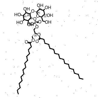 CCCCCCCCCCCCCCCCCC(=O)O[C@H](COC(=O)CCCCCCCCCCCCCCC)COP(=O)(O)O[C@@H]1C(O)C(O)[C@@H](O)C(O)[C@H]1O[C@H]1OC(CO)[C@@H](O)C(O)[C@H]1O